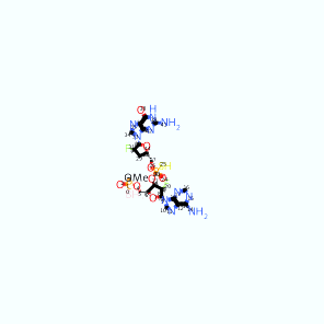 BP(=O)(OC)OC[C@H]1O[C@@H](n2cnc3c(N)ncnc32)[C@H](F)[C@@H]1O[P@](=O)(S)OC[C@@H]1C[C@@H](F)[C@H](n2cnc3c(=O)[nH]c(N)nc32)O1